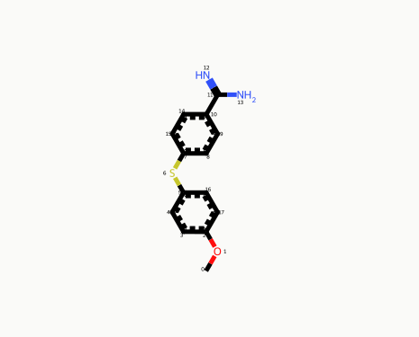 COc1ccc(Sc2ccc(C(=N)N)cc2)cc1